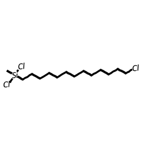 C[Si](Cl)(Cl)CCCCCCCCCCCCCCl